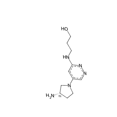 N[C@H]1CCN(c2cnnc(NCCCO)c2)C1